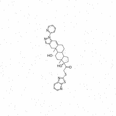 CC12Cc3cnn(-c4ccccn4)c3C=C1CCC1C2[C@@H](O)CC2(C)C1CC[C@]2(O)C(=O)CSc1nc2cccnc2s1